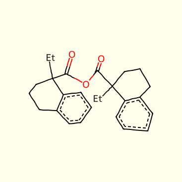 CCC1(C(=O)OC(=O)C2(CC)CCCc3ccccc32)CCCc2ccccc21